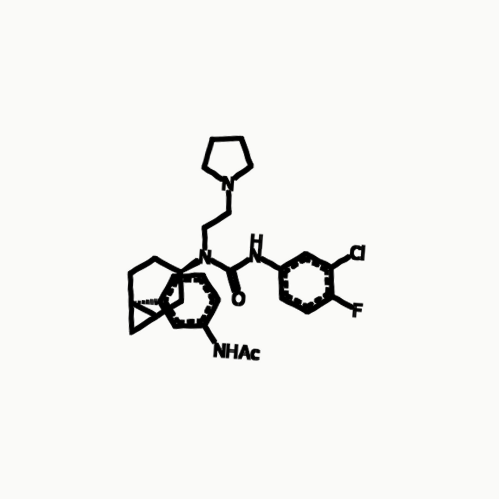 CC(=O)Nc1cccc([C@]23CC[C@@H](N(CCN4CCCC4)C(=O)Nc4ccc(F)c(Cl)c4)CC2C3)c1